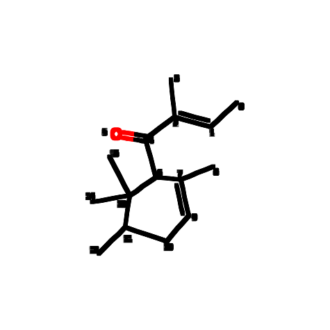 CC=C(C)C(=O)C1C(C)=CCC(C)C1(C)C